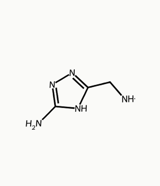 [NH]Cc1nnc(N)[nH]1